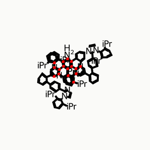 CC(C)c1cccc(C(C)C)c1-n1ccnc1-c1ccc(-c2ccccc2-c2cc(-c3ccccc3-c3ccc(-c4nccn4-c4c(C(C)C)cccc4C(C)C)cc3)cc(-c3cccc(-c4cc(-c5ccccc5-c5ccc(-c6nccn6-c6c(C(C)C)cccc6C(C)C)cc5)cc(-c5ccccc5-c5ccc(-c6nccn6-c6c(C(C)C)cccc6C(C)C)cc5)c4)c3-c3ccc(N)cc3)c2)cc1